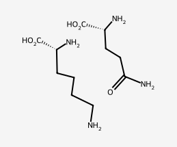 NC(=O)CC[C@@H](N)C(=O)O.NCCCC[C@@H](N)C(=O)O